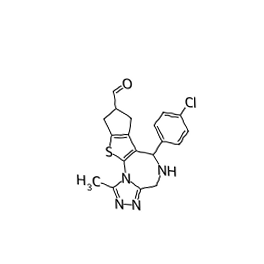 Cc1nnc2n1-c1sc3c(c1C(c1ccc(Cl)cc1)NC2)CC(C=O)C3